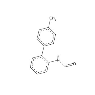 Cc1ccc(-c2ccccc2NC=O)cc1